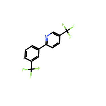 FC(F)(F)c1[c]ccc(-c2ccc(C(F)(F)F)cn2)c1